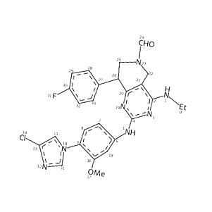 CCNc1nc(Nc2ccc(-n3cnc(Cl)c3)c(OC)c2)nc2c1CN(C=O)CC2c1ccc(F)cc1